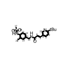 CC(C)(C)c1ccc(/C=C/C(=O)NCc2ccc(NS(C)(=O)=O)c(I)c2)cn1